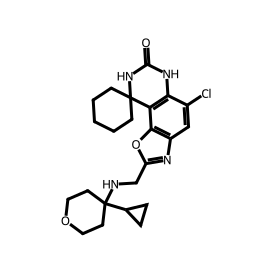 O=C1Nc2c(Cl)cc3nc(CNC4(C5CC5)CCOCC4)oc3c2C2(CCCCC2)N1